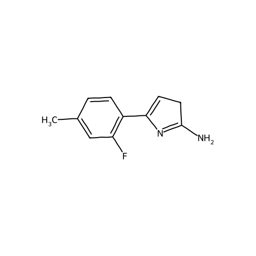 Cc1ccc(C2=CCC(N)=N2)c(F)c1